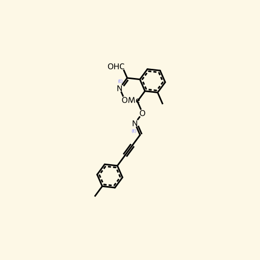 CO/N=C(/C=O)c1cccc(C)c1CO/N=C/C#Cc1ccc(C)cc1